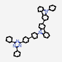 c1ccc(-c2nc(-c3ccccc3)nc(-c3ccc(-c4ccc(-n5c6ccccc6c6cc(-c7ccc8c(c7)c7ccccc7n8-c7ccccc7)ccc65)cc4)cc3)n2)cc1